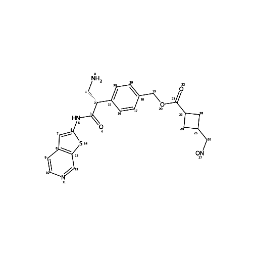 NC[C@@H](C(=O)Nc1cc2ccncc2s1)c1ccc(COC(=O)C2CC(CN=O)C2)cc1